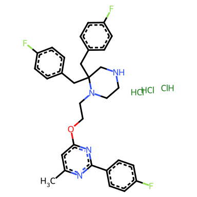 Cc1cc(OCCN2CCNCC2(Cc2ccc(F)cc2)Cc2ccc(F)cc2)nc(-c2ccc(F)cc2)n1.Cl.Cl.Cl